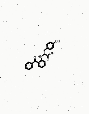 O=C(c1ccccc1)c1ccccc1N[C@@H](Cc1ccc(O)cc1)C(=O)O